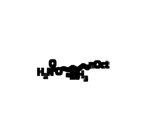 CCC.CCCCCCCCCCCCCCOC(N)=O.N